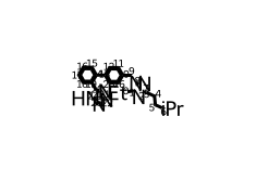 CCc1nc(CCC(C)C)nn1Cc1ccc(-c2ccccc2-c2nnn[nH]2)cc1